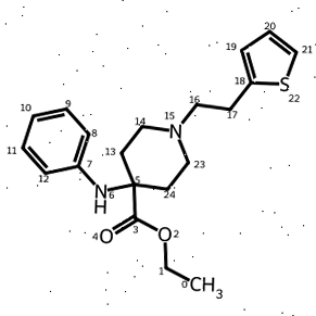 CCOC(=O)C1(Nc2ccccc2)CCN(CCc2cccs2)CC1